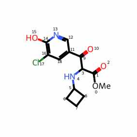 COC(=O)C(NC1CCC1)C(=O)c1cnc(O)c(Cl)c1